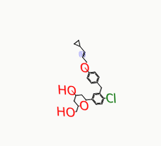 OCC1CC(O)CC(c2ccc(Cl)c(Cc3ccc(OC/C=C/C4CC4)cc3)c2)O1